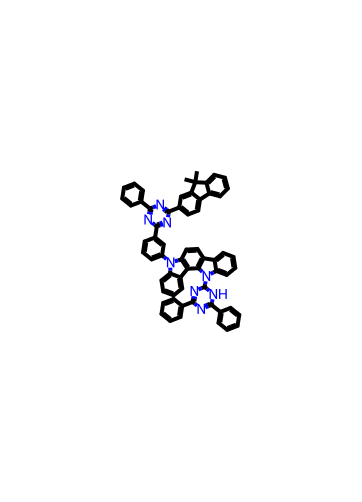 CC1(C)c2ccccc2-c2ccc(-c3nc(-c4ccccc4)nc(-c4cccc(-n5c6ccccc6c6c5ccc5c7ccccc7n(C7N=C(c8ccccc8)N=C(c8ccccc8)N7)c56)c4)n3)cc21